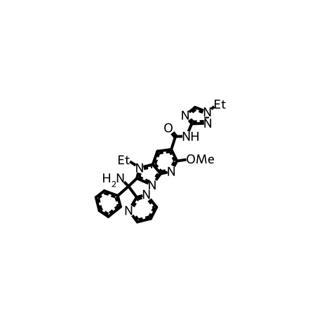 CCn1cnc(NC(=O)c2cc3c(nc2OC)nc(C(N)(c2ccccc2)c2ncccn2)n3CC)n1